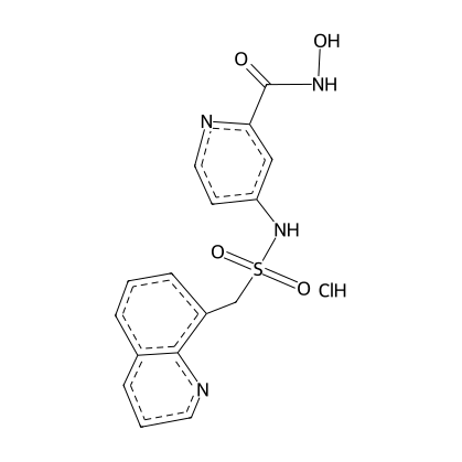 Cl.O=C(NO)c1cc(NS(=O)(=O)Cc2cccc3cccnc23)ccn1